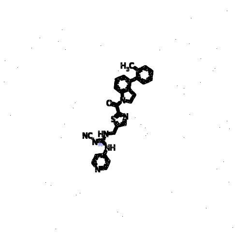 Cc1ccccc1-c1cccc2c1CCN2C(=O)c1ncc(CN/C(=N\C#N)Nc2ccncc2)s1